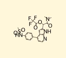 CN(C)C(=O)C(OC(=O)C(F)(F)F)c1cc2c(-c3ccc(NS(C)(=O)=O)cc3)ccnc2[nH]1